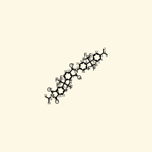 CC(C)c1ccc(C(c2ccc(N3C(=O)c4ccc(C(c5ccc6c(c5)C(=O)N(C(C)C)C6=O)(C(F)(F)F)C(F)(F)F)cc4C3=O)cc2)(C(F)(F)F)C(F)(F)F)cc1